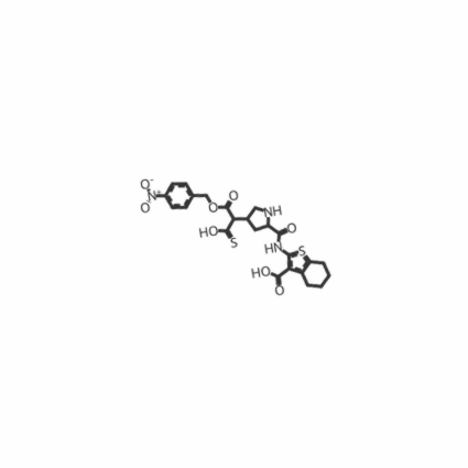 O=C(O)c1c(NC(=O)C2CC(C(C(=O)OCc3ccc([N+](=O)[O-])cc3)C(O)=S)CN2)sc2c1CCCC2